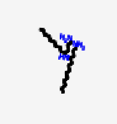 CCCCCCCCCC(CCCN)NC(CCCN)CCCCCCCCC